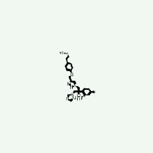 CCCCCCCCCC/C=C/c1ccc(OCc2cn(CC(O)(Cn3cncn3)c3ccc(F)cc3F)nn2)cc1